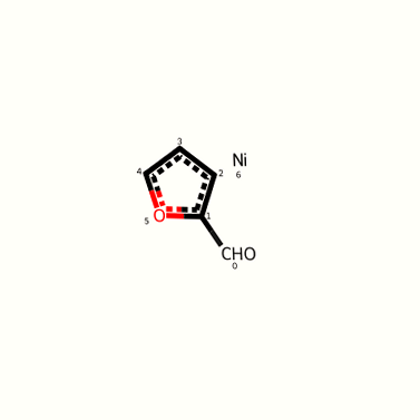 O=Cc1ccco1.[Ni]